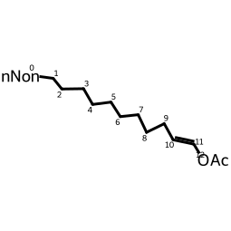 [CH2]CCCCCCCCCCCCCCCCCC=COC(C)=O